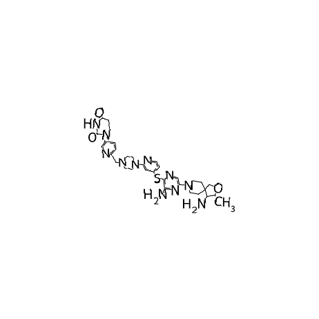 C[C@@H]1OCC2(CCN(c3cnc(Sc4ccnc(N5CCN(Cc6ccc(N7CCC(=O)NC7=O)cn6)CC5)c4)c(N)n3)CC2)[C@@H]1N